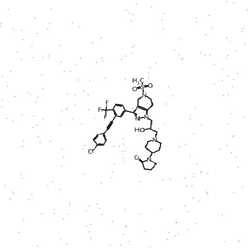 CS(=O)(=O)N1CCc2c(c(-c3ccc(C(F)(F)F)c(C#Cc4ccc(Cl)cc4)c3)nn2CC(O)CN2CCC(N3CCCC3=O)CC2)C1